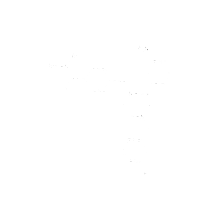 CCN(CC)C(=O)c1ccc(CN2CCN(Cc3cccc(F)c3)C[C@H]2c2cccc(N)c2)cc1